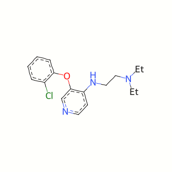 CCN(CC)CCNc1ccncc1Oc1ccccc1Cl